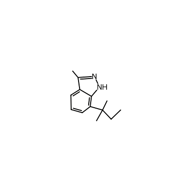 CCC(C)(C)c1cccc2c(C)n[nH]c12